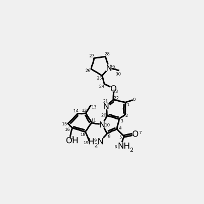 Cc1cc2c(C(N)=O)c(N)n(-c3c(C)ccc(O)c3C)c2nc1OCC1CCCN1C